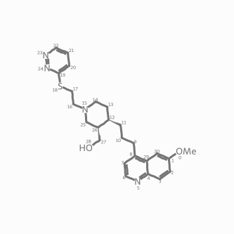 COc1ccc2nccc(CCC[C@@H]3CCN(CCSc4cccnn4)C[C@@H]3CO)c2c1